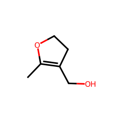 CC1=C(CO)CCO1